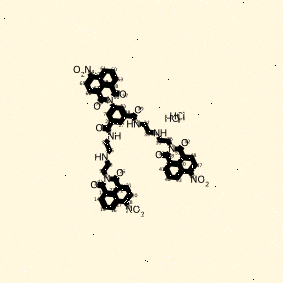 Cl.Cl.O=C(NCCNCCN1C(=O)c2cccc3c([N+](=O)[O-])ccc(c23)C1=O)c1cc(C(=O)NCCNCCN2C(=O)c3cccc4c([N+](=O)[O-])ccc(c34)C2=O)cc(N2C(=O)c3cccc4c([N+](=O)[O-])ccc(c34)C2=O)c1